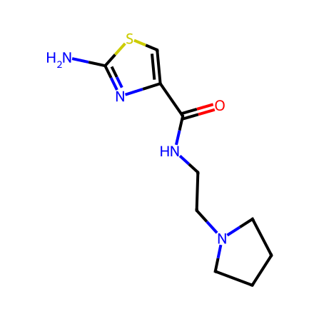 Nc1nc(C(=O)NCCN2CCCC2)cs1